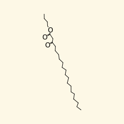 CCCCCCCCCCCCCCCCCC(=O)CC(=O)OCCCC